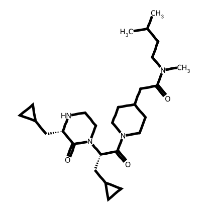 CC(C)CCN(C)C(=O)CC1CCN(C(=O)[C@H](CC2CC2)N2CCN[C@@H](CC3CC3)C2=O)CC1